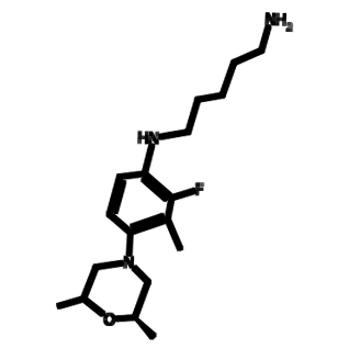 Cc1c(N2CC(C)O[C@H](C)C2)ccc(NCCCCCN)c1F